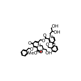 COC(=O)c1c(OCc2ccccc2)c(=O)cc(COC(=O)c2c(OCc3ccccc3)c(=O)ccn2CC(O)CO)n1CC(O)CO